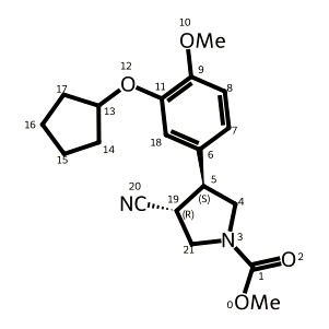 COC(=O)N1C[C@H](c2ccc(OC)c(OC3CCCC3)c2)[C@@H](C#N)C1